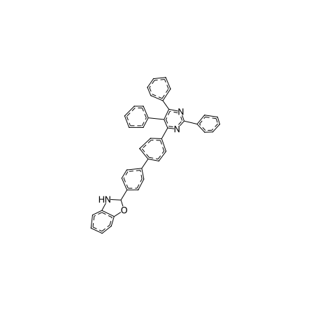 c1ccc(-c2nc(-c3ccccc3)c(-c3ccccc3)c(-c3ccc(-c4ccc(C5Nc6ccccc6O5)cc4)cc3)n2)cc1